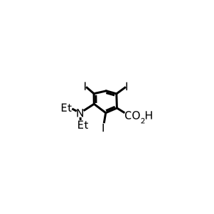 CCN(CC)c1c(I)cc(I)c(C(=O)O)c1I